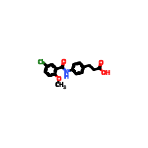 COc1ccc(Cl)cc1C(=O)Nc1ccc(CCC(=O)O)cc1